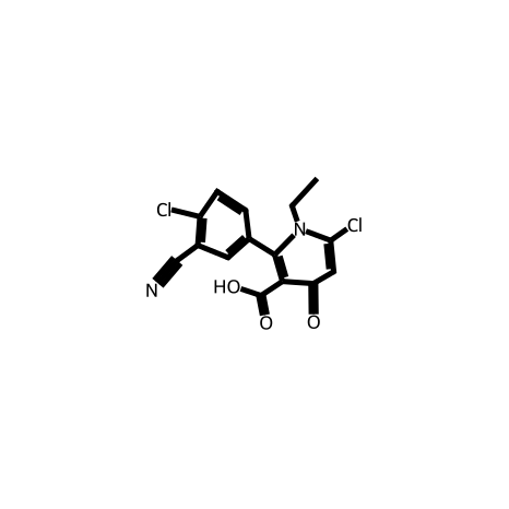 CCn1c(Cl)cc(=O)c(C(=O)O)c1-c1ccc(Cl)c(C#N)c1